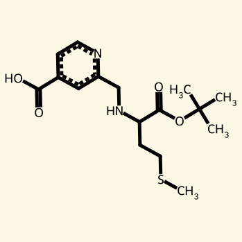 CSCCC(NCc1cc(C(=O)O)ccn1)C(=O)OC(C)(C)C